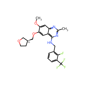 COc1cc2nc(C)nc(NCc3cccc(C(F)(F)F)c3F)c2cc1OC[C@H]1CCOC1